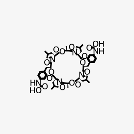 CC(C)C[C@@H]1C(=O)O[C@@H](Cc2ccc(NC(=O)O)cc2)C(=O)N(C)[C@H](CC(C)C)C(=O)O[C@@H](C)C(=O)N(C)[C@H](CC(C)C)C(=O)O[C@@H](Cc2ccc(NC(=O)O)cc2)C(=O)N(C)[C@H](CC(C)C)C(=O)O[C@@H](C)C(=O)N1C